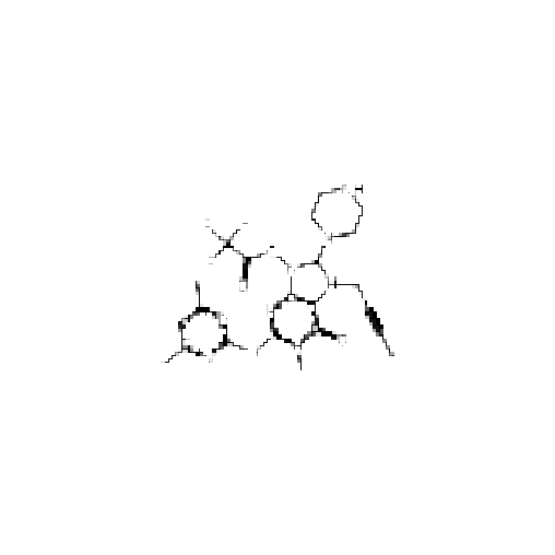 CC#CCN1c2c(nc(Oc3nc(C)cc(C)n3)n(C)c2=O)N(OC(=O)C(F)(F)F)C1N1CCNCC1